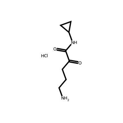 Cl.NCCCC(=O)C(=O)NC1CC1